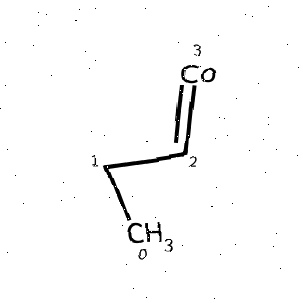 CC[CH]=[Co]